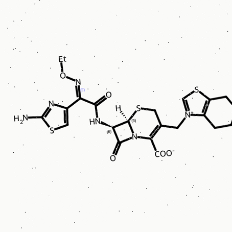 CCO/N=C(/C(=O)N[C@@H]1C(=O)N2C(C(=O)[O-])=C(C[n+]3csc4c3CCCC4)CS[C@H]12)c1csc(N)n1